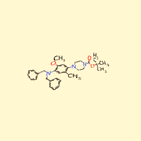 COc1cc(N2CCN(C(=O)OC(C)(C)C)CC2)c(C)cc1N(Cc1ccccc1)Cc1ccccc1